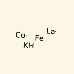 [Co].[Fe].[KH].[La]